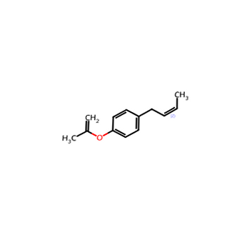 C=C(C)Oc1ccc(C/C=C\C)cc1